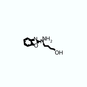 NN(CCCCO)c1nc2ccccc2o1